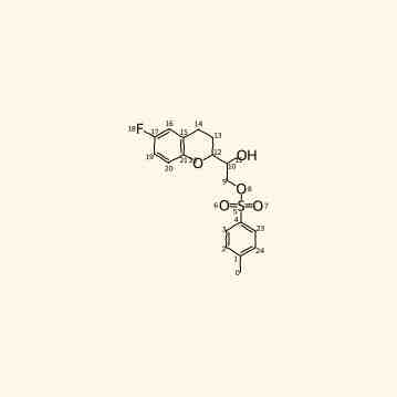 Cc1ccc(S(=O)(=O)OCC(O)C2CCc3cc(F)ccc3O2)cc1